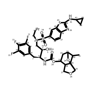 CC(C)CN(C[C@@H](O)[C@H](Cc1cc(F)c(F)c(F)c1)NC(=O)OC1CC2OC3OCC1C3C2C)S(=O)(=O)c1ccc2nc(NC3CC3)sc2c1